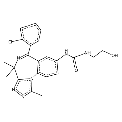 Cc1nnc2n1-c1ccc(NC(=O)NCCO)cc1C(c1ccccc1Cl)=NC2(C)C